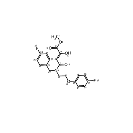 COC(=O)/C(O)=C/C(=O)N(CCOc1ccc(F)cc1)Cc1ccc(F)cc1